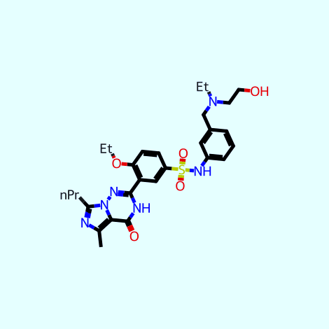 CCCc1nc(C)c2c(=O)[nH]c(-c3cc(S(=O)(=O)Nc4cccc(CN(CC)CCO)c4)ccc3OCC)nn12